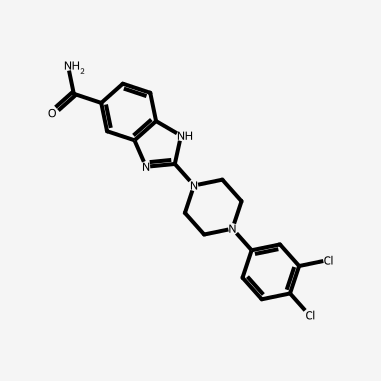 NC(=O)c1ccc2[nH]c(N3CCN(c4ccc(Cl)c(Cl)c4)CC3)nc2c1